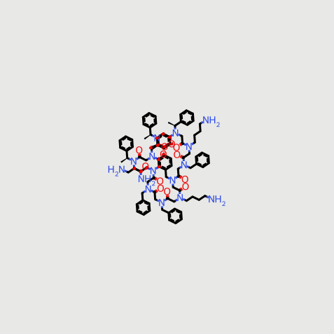 CC(=O)N(CC(=O)N(CC(=O)N(CCCCN)CC(=O)N(CC(=O)N(CC(=O)N(CCCCN)CC(=O)N(CC(=O)N(CC(=O)N(CCCCN)CC(=O)N(CC(=O)N(CC(N)=O)[C@@H](C)c1ccccc1)Cc1ccccc1)Cc1ccccc1)Cc1ccccc1)Cc1ccccc1)Cc1ccccc1)[C@@H](C)c1ccccc1)[C@@H](C)c1ccccc1